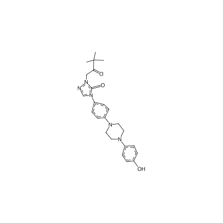 CC(C)(C)C(=O)Cn1ncn(-c2ccc(N3CCN(c4ccc(O)cc4)CC3)cc2)c1=O